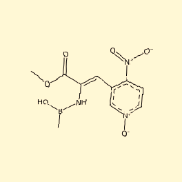 COC(=O)/C(=C/c1c[n+]([O-])ccc1[N+](=O)[O-])NB(C)O